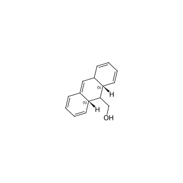 OCC1[C@H]2C=CC=CC2C=C2C=CC=C[C@H]21